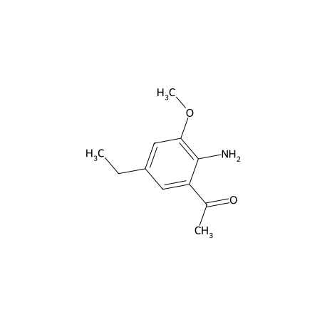 CCc1cc(OC)c(N)c(C(C)=O)c1